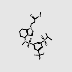 COC(=O)CCn1ncc2c1CCCC2N(C)S(=O)(=O)c1cc(C(F)(F)F)cc(S(=O)(=O)C(C)C)c1